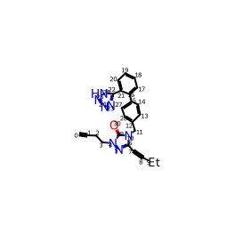 C#CCCn1nc(C#CCC)n(Cc2ccc(-c3ccccc3-c3nnn[nH]3)cc2)c1=O